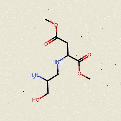 COC(=O)CC(NCC(N)CO)C(=O)OC